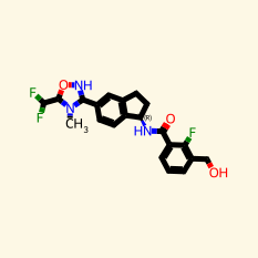 CN1C(c2ccc3c(c2)CC[C@H]3NC(=O)c2cccc(CO)c2F)NOC1C(F)F